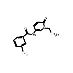 CCOC(=O)Cn1cc(NC(=O)c2cccc(C)c2)ccc1=O